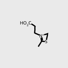 CC1=[N+](CCC(=O)O)CS1